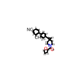 Cc1cc(C#N)ccc1-c1ccc(C2CC23CCN(C(=O)C2CCCO2)CC3)cc1